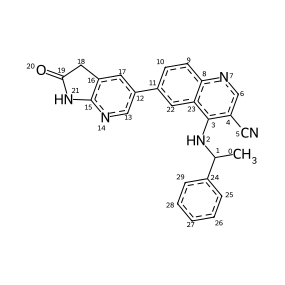 CC(Nc1c(C#N)cnc2ccc(-c3cnc4c(c3)CC(=O)N4)cc12)c1ccccc1